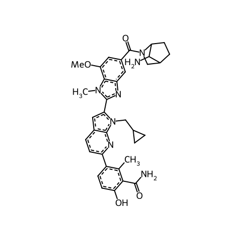 COc1cc(C(=O)N2CC3CCC2C3N)cc2nc(-c3cc4ccc(-c5ccc(O)c(C(N)=O)c5C)nc4n3CC3CC3)n(C)c12